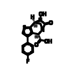 O=C(O)[C@@H]1c2c(-c3ccc(F)cc3)csc2[C@@H]2CN1C(=O)N2O